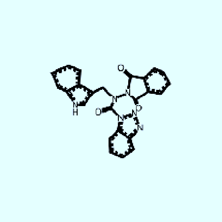 O=C1c2ccccc2C(=O)N1N(Cc1c[nH]c2ccccc12)C(=O)n1nnc2ccccc21